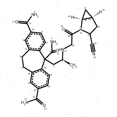 C[C@@H](CC1(C(N)=O)c2ccc(C(N)=O)cc2CCc2cc(C(N)=O)ccc21)NCC(=O)N1C(C#N)C[C@@H]2C[C@@H]21